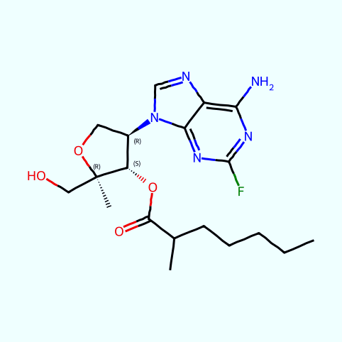 CCCCCC(C)C(=O)O[C@H]1[C@H](n2cnc3c(N)nc(F)nc32)CO[C@]1(C)CO